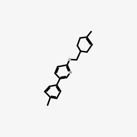 CC1=CCC(COc2ccc(-c3ccc(C)cc3)cn2)CC1